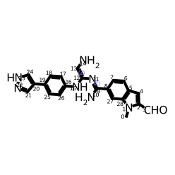 Cn1c(C=O)cc2ccc(/C(N)=N/C(=C\N)Nc3ccc(-c4cn[nH]c4)cc3)cc21